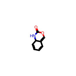 O=C1NC2C=CC=CC2=[C]O1